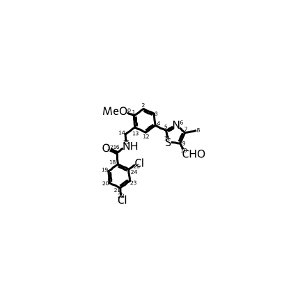 COc1ccc(-c2nc(C)c(C=O)s2)cc1CNC(=O)c1ccc(Cl)cc1Cl